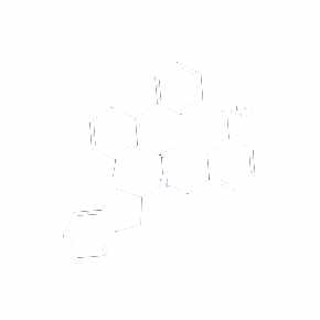 COc1cccc(CN(C(=O)C2=C(C)C=CCC2c2ccccc2)C2Cc3ccccc3C2)c1